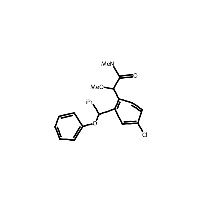 CNC(=O)C(OC)c1ccc(Cl)cc1C(Oc1ccccc1)C(C)C